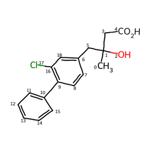 CC(O)(CC(=O)O)Cc1ccc(-c2ccccc2)c(Cl)c1